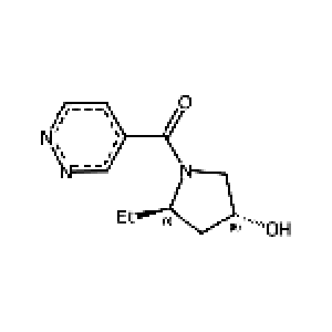 CC[C@@H]1C[C@@H](O)CN1C(=O)c1ccnnc1